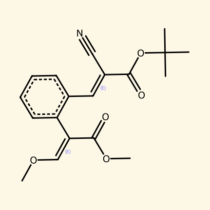 CO/C=C(/C(=O)OC)c1ccccc1/C=C(\C#N)C(=O)OC(C)(C)C